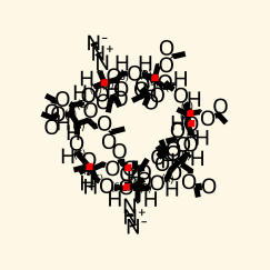 CC(=O)OCC1O[C@H]2O[C@H]3C(COC(C)=O)O[C@@H](O[C@H]4C(CN=[N+]=[N-])O[C@@H](O[C@@H]5C(COC(C)=O)O[C@H](O[C@@H]6C(COC(C)=O)O[C@H](O[C@@H]7C(COC(C)=O)O[C@H](O[C@@H]8C(CN=[N+]=[N-])O[C@H](O[C@H]1[C@H](C)C2C)C(OC(C)=O)[C@H]8OC(C)=O)C(OC(C)=O)[C@H]7OC(C)=O)C(OC(C)=O)[C@H]6C)C(OC(C)=O)[C@H]5OC(C)=O)C(OC(C)=O)[C@H]4OC(C)=O)C(OC(C)=O)[C@H]3OC(C)=O